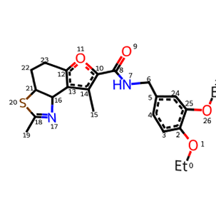 CCOc1ccc(CNC(=O)c2oc3c(c2C)C2N=C(C)SC2CC3)cc1OCC